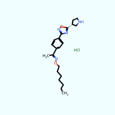 CCCCCCCON=C(C)c1ccc(-c2noc([C@@H]3CCNC3)n2)cc1.Cl